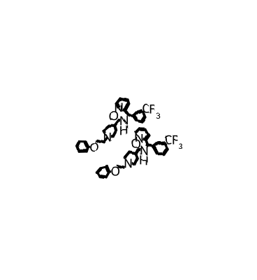 O=C(NC(c1cccc(C(F)(F)F)c1)c1ccccn1)C1CCN(CCOc2ccccc2)CC1.O=C(NC(c1cccc(C(F)(F)F)c1)c1ccccn1)C1CCN(CCOc2ccccc2)CC1